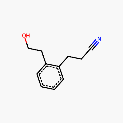 N#CCCc1ccccc1CCO